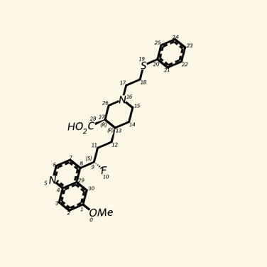 COc1ccc2nccc([C@@H](F)CC[C@@H]3CCN(CCSc4ccccc4)C[C@@H]3C(=O)O)c2c1